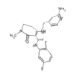 CN1CCC(NCc2ccnc(N)c2)=C(C(=S)Nc2cc(F)ccc2F)C1=O